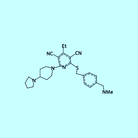 CCc1c(C#N)c(SCc2ccc(CNC)cc2)nc(N2CCC(N3CCCC3)CC2)c1C#N